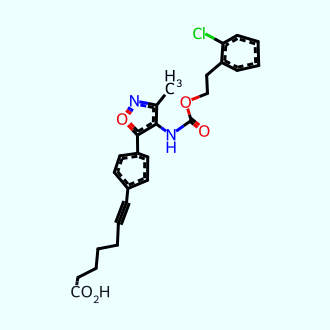 Cc1noc(-c2ccc(C#CCCCCC(=O)O)cc2)c1NC(=O)OCCc1ccccc1Cl